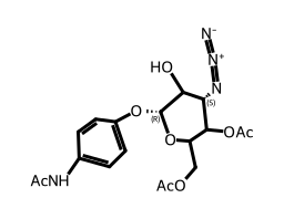 CC(=O)Nc1ccc(O[C@H]2OC(COC(C)=O)C(OC(C)=O)[C@@H](N=[N+]=[N-])C2O)cc1